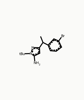 CC(c1cccc(Br)c1)c1cc(N)n(C(C)(C)C)n1